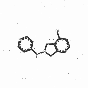 Oc1cccc2c1CN(Nc1ccncc1)C2